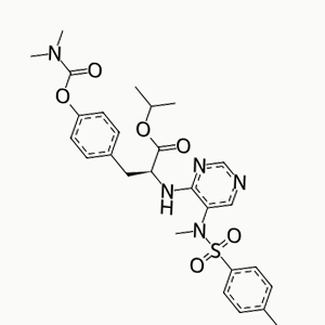 Cc1ccc(S(=O)(=O)N(C)c2cncnc2N[C@@H](Cc2ccc(OC(=O)N(C)C)cc2)C(=O)OC(C)C)cc1